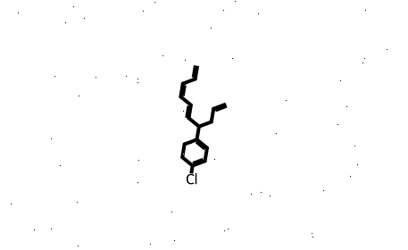 C=C/C=C\C=C\C(CC=C)C1=CC=C(Cl)CC1